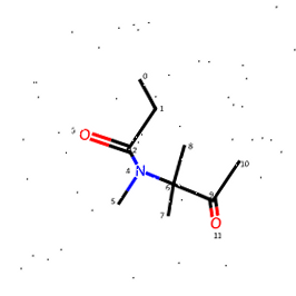 CCC(=O)N(C)C(C)(C)C(C)=O